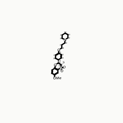 COc1ccc2c(c1)S(=O)(=O)[C@@H](C)[C@H](C1C=CC(OCCCN3CCCCC3)=CC1)O2